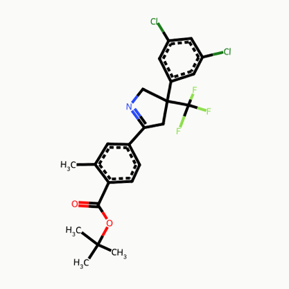 Cc1cc(C2=NCC(c3cc(Cl)cc(Cl)c3)(C(F)(F)F)C2)ccc1C(=O)OC(C)(C)C